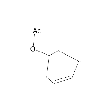 CC(=O)OC1C[CH]C=CC1